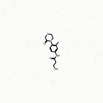 Cc1cc(NC(=O)CCO)ccc1N1CCOCC1=O